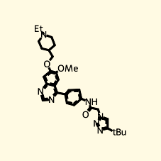 CCN1CCC(COc2cc3ncnc(-c4ccc(NC(=O)Cn5cc(C(C)(C)C)nn5)cc4)c3cc2OC)CC1